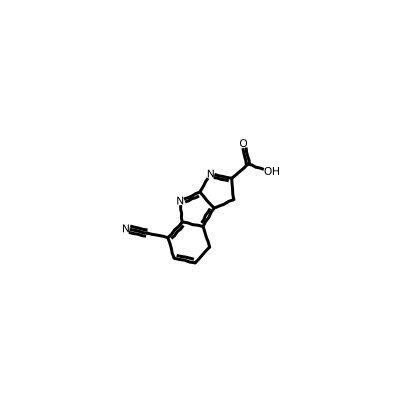 N#CC1=C2N=C3N=C(C(=O)O)CC3=C2CC=C1